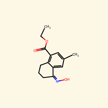 CCOC(=O)c1cc(C)cc2c1CCC/C2=N/O